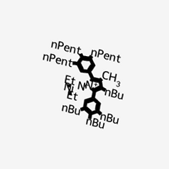 CCCCCc1cc(C2=C(C)C(CCCC)=C(c3cc(CCCC)c(CCCC)c(CCCC)c3)[N+]2=[N-])cc(CCCCC)c1CCCCC.C[CH2][Ni][CH2]C